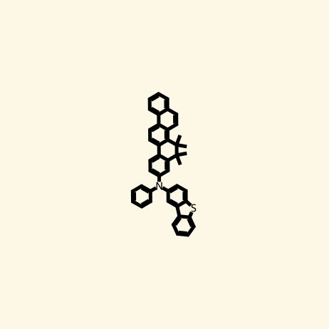 CC1(C)c2cc(N(c3ccccc3)c3ccc4sc5ccccc5c4c3)ccc2-c2ccc3c(ccc4ccccc43)c2C1(C)C